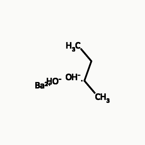 C[CH]CC.[Ba+2].[OH-].[OH-]